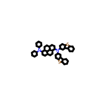 c1ccc(N(c2ccccc2)c2ccc3ccc4c(N(c5ccc6sc7ccccc7c6c5)c5ccc6sc7ccccc7c6c5)ccc5ccc2c3c54)cc1